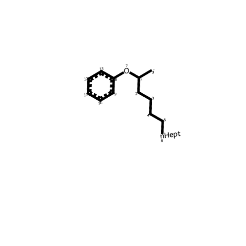 [CH2]C(CCCCCCCCCCC)Oc1ccccc1